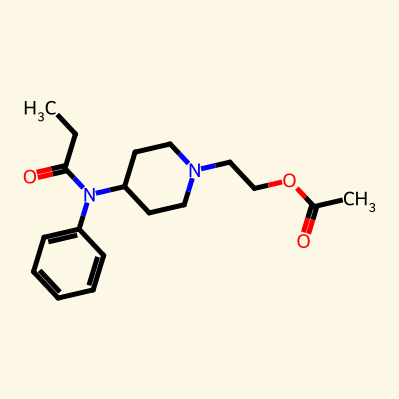 CCC(=O)N(c1ccccc1)C1CCN(CCOC(C)=O)CC1